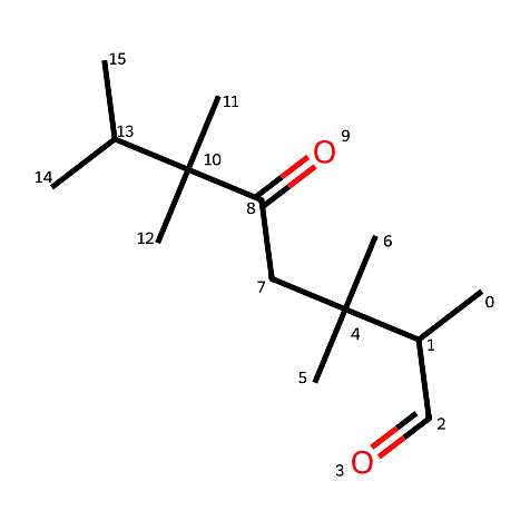 CC(C=O)C(C)(C)CC(=O)C(C)(C)C(C)C